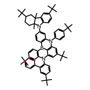 CC(C)(C)c1ccc(N2c3cc(N4c5ccc(C(C)(C)C)cc5C5(C)CC(C(C)(C)C)CCC45C)ccc3B3c4ccc(C(C)(C)C)cc4N(c4ccc(C(C)(C)C)cc4-c4ccccc4)c4cc(C(C)(C)C)cc2c43)cc1